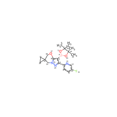 CC1(C)OB(c2c(-c3ccc(F)cn3)nn3c2OCC2(CC2)C3)OC1(C)C